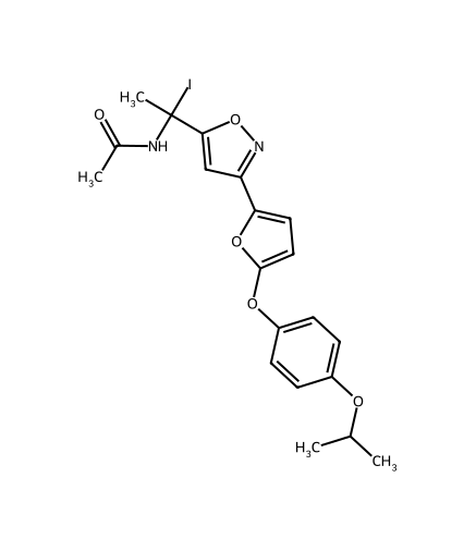 CC(=O)NC(C)(I)c1cc(-c2ccc(Oc3ccc(OC(C)C)cc3)o2)no1